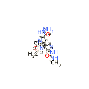 CCNC(=O)Nc1cc(N2CC(C)OC(C)C2)c(-c2cncc(C(=O)NN)c2)cn1